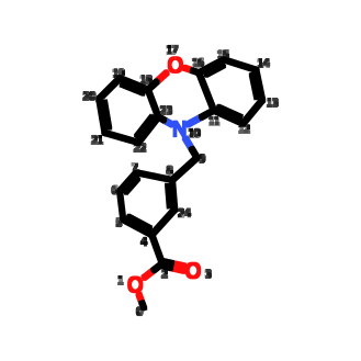 COC(=O)c1cccc(CN2c3ccccc3Oc3ccccc32)c1